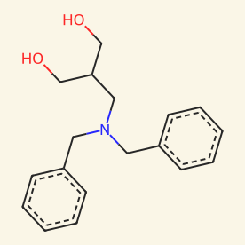 OCC(CO)CN(Cc1ccccc1)Cc1ccccc1